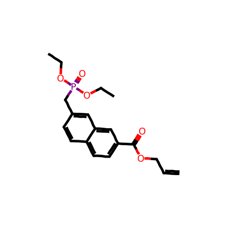 C=CCOC(=O)c1ccc2ccc(CP(=O)(OCC)OCC)cc2c1